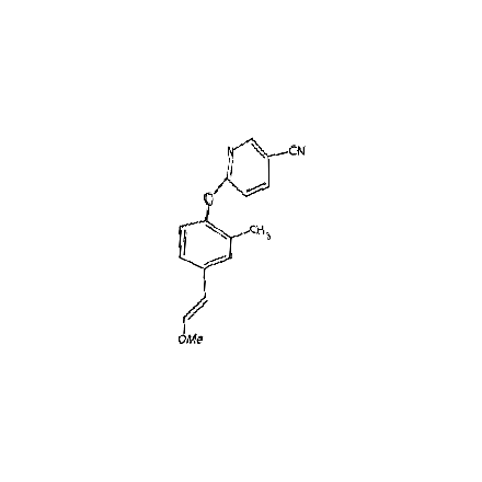 COC=Cc1ccc(Oc2ccc(C#N)cn2)c(C)c1